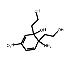 NC1(CCO)C=CC([N+](=O)[O-])=CC1(O)CCO